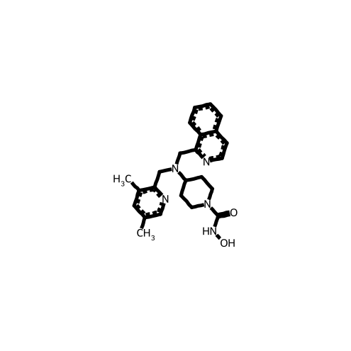 Cc1cnc(CN(Cc2nccc3ccccc23)C2CCN(C(=O)NO)CC2)c(C)c1